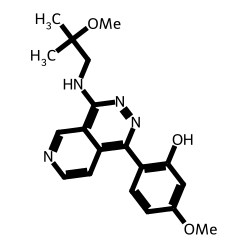 COc1ccc(-c2nnc(NCC(C)(C)OC)c3cnccc23)c(O)c1